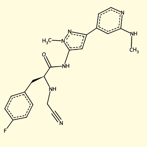 CNc1cc(-c2cc(NC(=O)[C@H](Cc3ccc(F)cc3)NCC#N)n(C)n2)ccn1